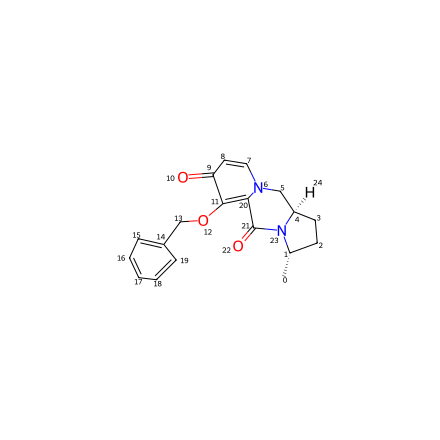 C[C@H]1CC[C@@H]2Cn3ccc(=O)c(OCc4ccccc4)c3C(=O)N21